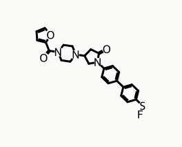 O=C(c1ccco1)N1CCN(C2CC(=O)N(c3ccc(-c4ccc(SF)cc4)cc3)C2)CC1